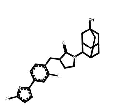 O=C1C(Cc2ccc(-c3ccc(Cl)s3)cc2Cl)CCN1C1C2CC3CC1CC(O)(C3)C2